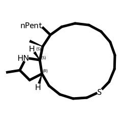 CCCCCC1CCCCCCCCSCCCC[C@@H]2CC(C)N[C@@H]2[C@H]1C